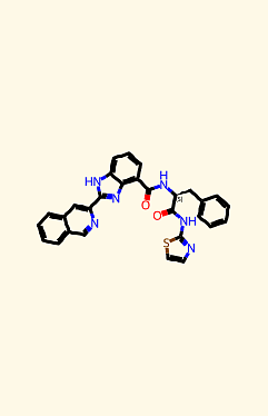 O=C(N[C@@H](Cc1ccccc1)C(=O)Nc1nccs1)c1cccc2[nH]c(-c3cc4ccccc4cn3)nc12